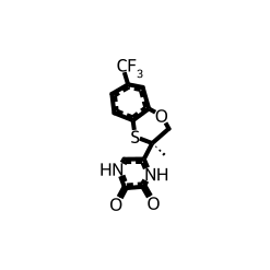 C[C@@]1(c2c[nH]c(=O)c(=O)[nH]2)COc2cc(C(F)(F)F)ccc2S1